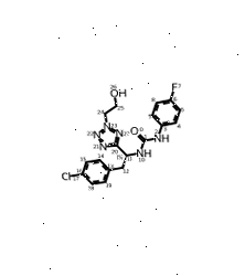 O=C(Nc1ccc(F)cc1)N[C@@H](Cc1ccc(Cl)cc1)c1nnn(CCO)n1